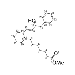 COC(=O)CCCCCCN1CCCCC1/C=C/C(O)Cc1ccccc1